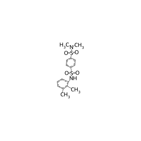 Cc1cccc(NS(=O)(=O)c2ccc(S(=O)(=O)N(C)C)cc2)c1C